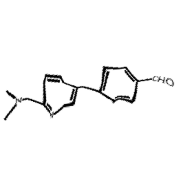 CN(C)c1ccc(-c2ccc(C=O)cc2)cn1